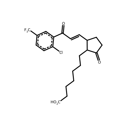 O=C(O)CCCCCCC1C(=O)CCC1C=CC(=O)c1cc(C(F)(F)F)ccc1Cl